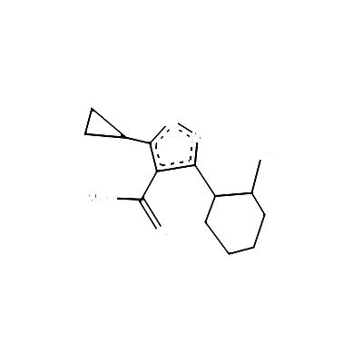 COC(=O)c1c(C2CCCCC2C(F)(F)F)noc1C1CC1